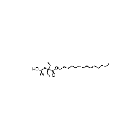 CCCCCCCCCCCCCCOC(=O)C(CC)(CC)CC(=O)O